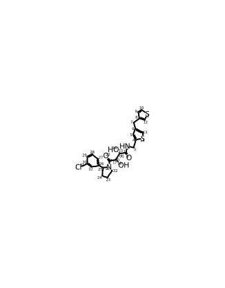 O=C(NCc1cc(Cc2ccsc2)cs1)[C@H](O)[C@@H](O)C(=O)N1CCCC1c1cccc(Cl)c1